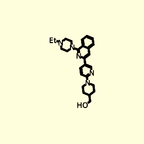 CCN1CCN(c2nc(-c3ccc(N4CCC(CO)CC4)nc3)cc3ccccc23)CC1